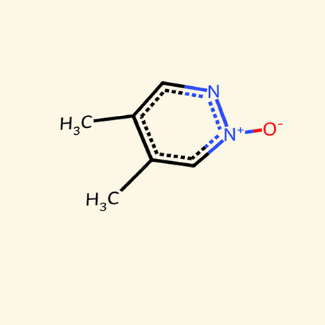 Cc1cn[n+]([O-])cc1C